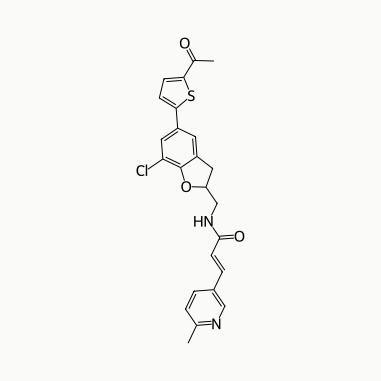 CC(=O)c1ccc(-c2cc(Cl)c3c(c2)CC(CNC(=O)C=Cc2ccc(C)nc2)O3)s1